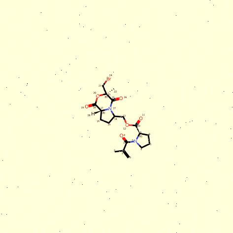 C=C(C)C(=O)N1CCC[C@@H]1C(=O)OCC1CC[C@@H]2C(=O)O[C@@](C)(CBr)C(=O)N12